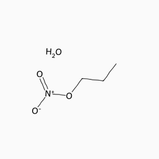 CCCO[N+](=O)[O-].O